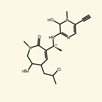 C#CC1=CN=C(N[C@@H](C)C2=CC(CC(C)Cl)C(CCCC)CN(C)C2=O)C(O)N1C